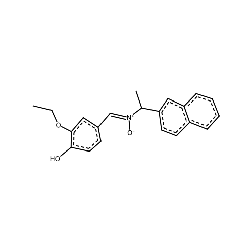 CCOc1cc(C=[N+]([O-])C(C)c2ccc3ccccc3c2)ccc1O